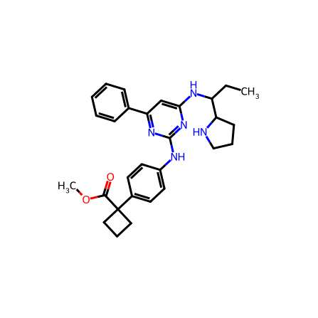 CCC(Nc1cc(-c2ccccc2)nc(Nc2ccc(C3(C(=O)OC)CCC3)cc2)n1)C1CCCN1